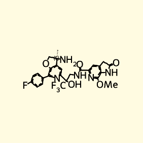 COc1nc(C(=O)NCC(O)(c2cc3c(c(-c4ccc(F)cc4)n2)OC[C@@]3(C)N)C(F)(F)F)cc2c1NC(=O)C2